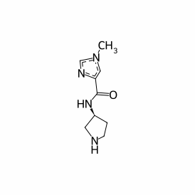 Cn1cnc(C(=O)N[C@H]2CCNC2)c1